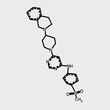 CS(=O)(=O)c1ccc(Nc2cc(N3CCC(N4CCc5ccccc5C4)CC3)ncn2)cc1